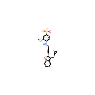 COc1cc(S(C)(=O)=O)ccc1NCC#Cc1oc2ccccc2c1CC1CC1